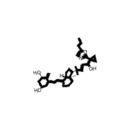 C=C1/C(=C\C=C2/CCC[C@]3(C)[C@@H](C(C)(C)/C=C/C(O)C4(c5ncc(CCC)o5)CC4)CC[C@@H]23)C[C@@H](O)C[C@@H]1O